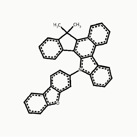 CC1(C)c2ccccc2-c2c1c1ccccc1c1c3ccccc3n(-c3ccc4c(c3)oc3ccccc34)c21